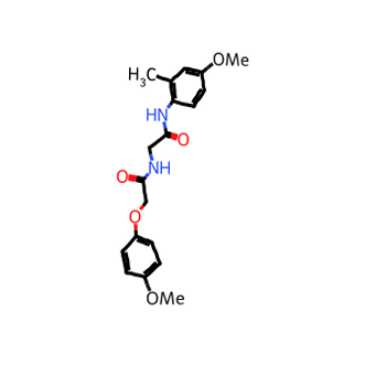 COc1ccc(OCC(=O)NCC(=O)Nc2ccc(OC)cc2C)cc1